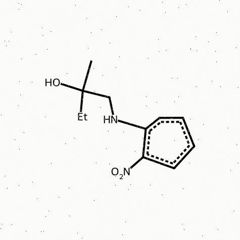 CCC(C)(O)CNc1ccccc1[N+](=O)[O-]